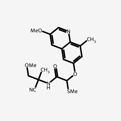 COCC(C)(C#N)NC(=O)C(Oc1cc(C)c2ncc(OC)cc2c1)SC